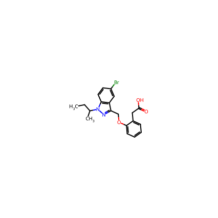 CCC(C)n1nc(COc2ccccc2CC(=O)O)c2cc(Br)ccc21